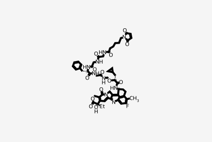 CC[C@@]1(O)C(=O)OCc2c1cc1n(c2=O)Cc2c-1nc1cc(F)c(C)c3c1c2[C@@H](NC(=O)[C@@H](CC1CC1)OCNC(=O)CNC(=O)[C@H](Cc1ccccc1)NC(=O)CNC(=O)CNC(=O)CCCCCN1C(=O)C=CC1=O)CC3